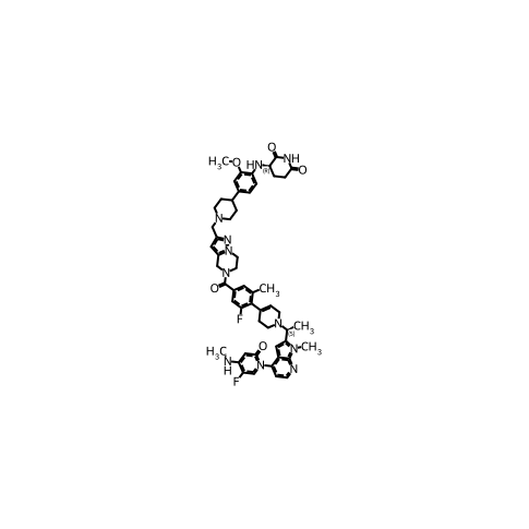 CNc1cc(=O)n(-c2ccnc3c2cc([C@H](C)N2CC=C(c4c(C)cc(C(=O)N5CCn6nc(CN7CCC(c8ccc(N[C@@H]9CCC(=O)NC9=O)c(OC)c8)CC7)cc6C5)cc4F)CC2)n3C)cc1F